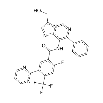 O=C(Nc1c(-c2ccccc2)ncn2c(CO)cnc12)c1cc(-c2ncccn2)c(C(F)(F)F)cc1F